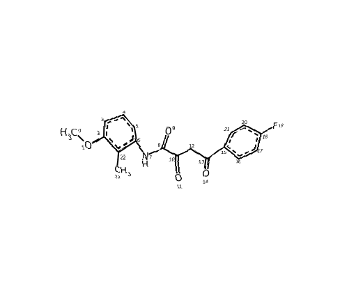 COc1cccc(NC(=O)C(=O)CC(=O)c2ccc(F)cc2)c1C